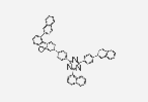 c1ccc2cc(-c3ccc(-c4nc(-c5ccc(-c6ccc7c(c6)oc6cccc(-c8ccc9ccccc9c8)c67)cc5)nc(-c5cccc6ccccc56)n4)cc3)ccc2c1